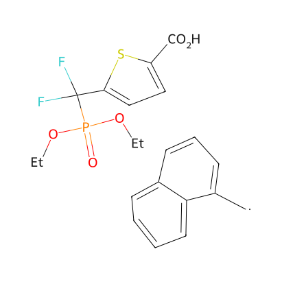 CCOP(=O)(OCC)C(F)(F)c1ccc(C(=O)O)s1.[CH2]c1cccc2ccccc12